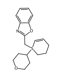 C1=CS(Cc2nc3ccccc3o2)(C2CCOCC2)CCC1